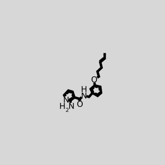 CC=CCCCOc1cccc(CNC(=O)c2cccnc2N)c1